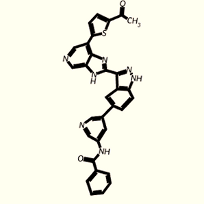 CC(=O)c1ccc(-c2cncc3[nH]c(-c4n[nH]c5ccc(-c6cncc(NC(=O)c7ccccc7)c6)cc45)nc23)s1